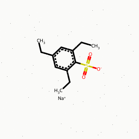 CCc1cc(CC)c(S(=O)(=O)[O-])c(CC)c1.[Na+]